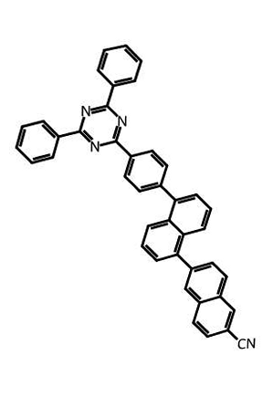 N#Cc1ccc2cc(-c3cccc4c(-c5ccc(-c6nc(-c7ccccc7)nc(-c7ccccc7)n6)cc5)cccc34)ccc2c1